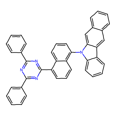 c1ccc(-c2nc(-c3ccccc3)nc(-c3cccc4c(-n5c6ccccc6c6cc7ccccc7cc65)cccc34)n2)cc1